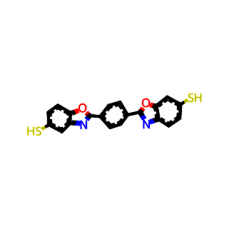 Sc1ccc2oc(-c3ccc(-c4nc5ccc(S)cc5o4)cc3)nc2c1